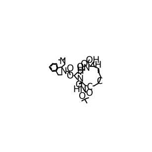 CN(C)CC1c2ccccc2CCN1C(=O)O[C@@H]1C[C@H]2C(=O)N[C@]3(C(=O)O)C[C@H]3/C=C/CCCCC[C@H](NC(=O)OC(C)(C)C)C(=O)N2C1